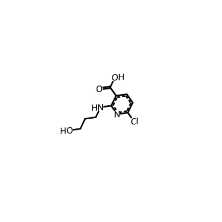 O=C(O)c1ccc(Cl)nc1NCCCO